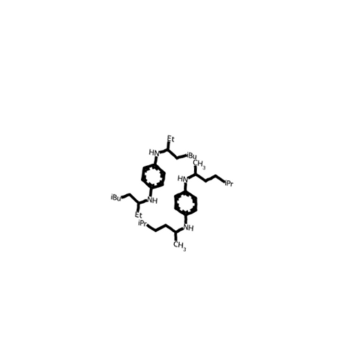 CC(C)CCC(C)Nc1ccc(NC(C)CCC(C)C)cc1.CCC(C)CC(CC)Nc1ccc(NC(CC)CC(C)CC)cc1